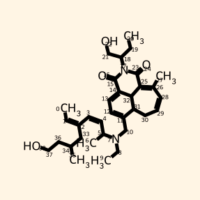 C/C=C(\C=C/C(C)N(CC)CC1=CC=C2C(=O)N(C(CC)CO)C(=O)C3=C(C)C=CCC1C23)CC(C)CCO